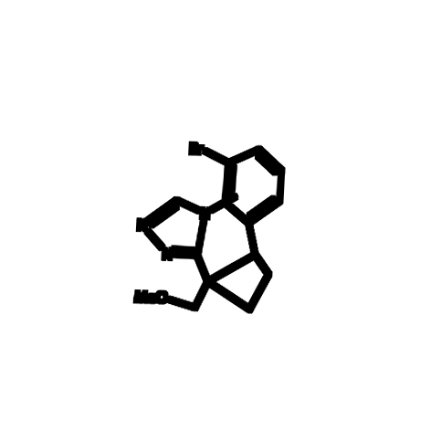 COCC1(c2nncn2C)CCC1c1cccc(Br)c1